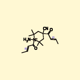 C/C=C/C(=O)C1(C#N)CC(C)(C)[N+](N)(C(=O)/C=C/C)C(C)(C)C1